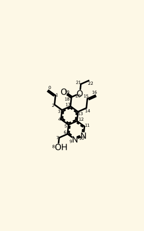 C=CCc1cc2c(CO)nncc2c(CC=C)c1C(=O)OCC